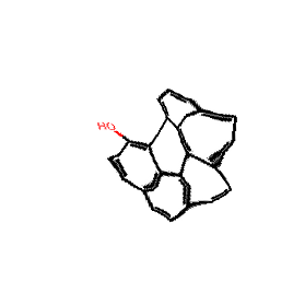 Oc1ccc2ccc3ccc4ccc5cccc6c1c2c3c4c56